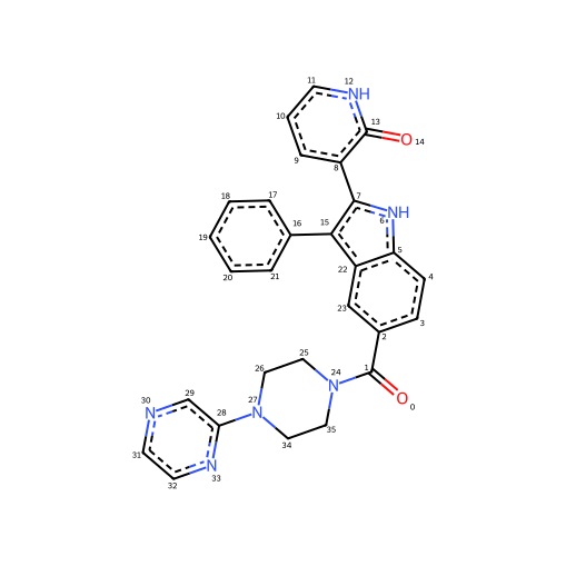 O=C(c1ccc2[nH]c(-c3ccc[nH]c3=O)c(-c3ccccc3)c2c1)N1CCN(c2cnccn2)CC1